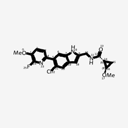 COc1ccc(-c2cc3[nH]c(CNC(=O)[C@@H]4C[C@H]4OC)cc3cc2Cl)nc1F